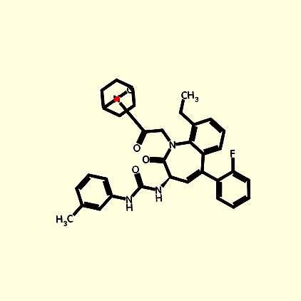 CCc1cccc2c1N(CC(=O)N1CC3CCC(CC3)C1)C(=O)[C@H](NC(=O)Nc1cccc(C)c1)C=C2c1ccccc1F